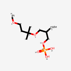 COC(COC(C)(C)CCOC(C)C)COP(=O)(O)O